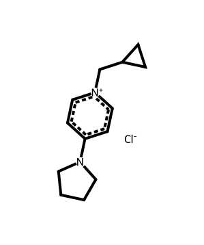 [Cl-].c1c[n+](CC2CC2)ccc1N1CCCC1